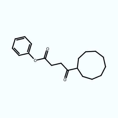 O=C(CCC(=O)C1CCCCCCCC1)Oc1ccccc1